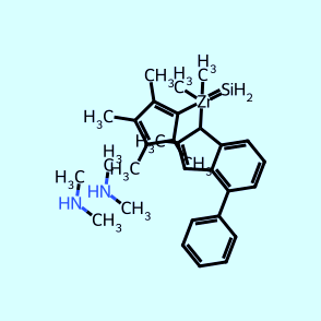 CC1=Cc2c(-c3ccccc3)cccc2[CH]1[Zr]([CH3])([CH3])(=[SiH2])[C]1=C(C)C(C)=C(C)C1C.CNC.CNC